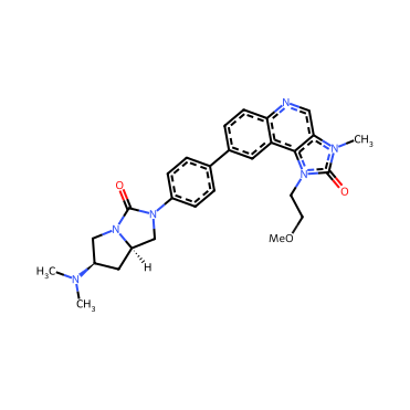 COCCn1c(=O)n(C)c2cnc3ccc(-c4ccc(N5C[C@H]6C[C@@H](N(C)C)CN6C5=O)cc4)cc3c21